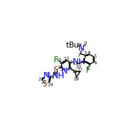 CN(Cc1cccc(F)c1CNc1cc(F)c(SNc2cscn2)nc1C1CC1)C(C)(C)C